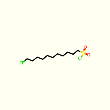 O=S(=O)(Cl)CCCCCCCCCCCCl